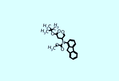 COC(=O)N(c1cccc2c1Cc1ccccc1-2)C(C=O)CC(=O)OC(C)(C)C